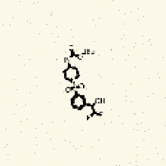 CC(C)(C)OC(=O)NC1CCN(S(=O)(=O)c2cccc(C(O)C(F)F)c2)CC1